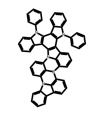 c1ccc(-n2c3ccccc3c3c2c2c4cccc5c4n(c2c2c4ccccc4n(-c4ccccc4)c32)-c2cccc3c2B5c2cccc4c5ccccc5n-3c24)cc1